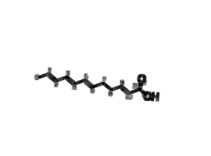 CC=CC=CC=CCCC=CC(=O)O